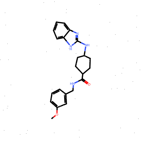 COc1cccc(CNC(=O)C2CCC(Nc3nc4ccccc4[nH]3)CC2)c1